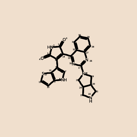 O=C1NC(=O)C(c2c[nH]c3ccsc23)=C1c1nc(N2CC3CNCC3C2)nc2ccccc12